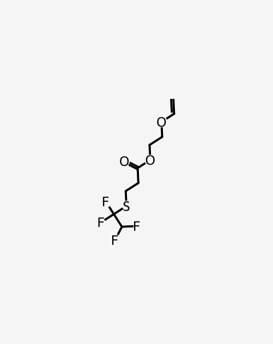 C=COCCOC(=O)CCSC(F)(F)C(F)F